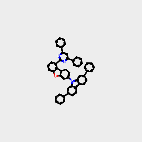 C1=C2Oc3cccc(-c4nc(-c5ccccc5)cc(-c5ccccc5)n4)c3C2CC=C1n1c2cc(-c3ccccc3)ccc2c2ccc(-c3ccccc3)cc21